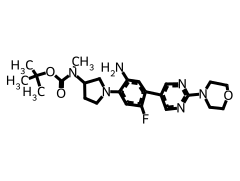 CN(C(=O)OC(C)(C)C)C1CCN(c2cc(F)c(-c3cnc(N4CCOCC4)nc3)cc2N)C1